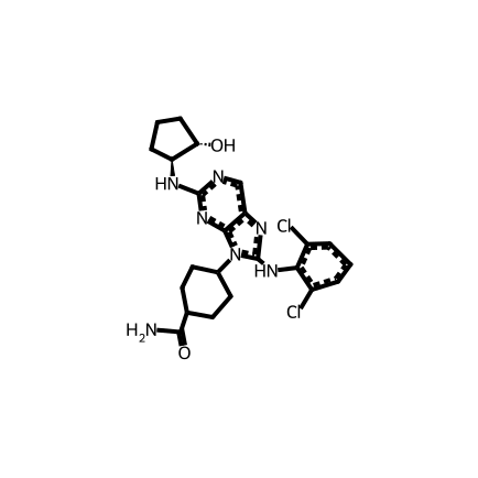 NC(=O)C1CCC(n2c(Nc3c(Cl)cccc3Cl)nc3cnc(N[C@H]4CCC[C@@H]4O)nc32)CC1